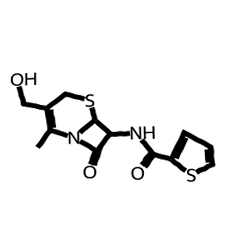 CC1=C(CO)CSC2C(NC(=O)c3cccs3)C(=O)N12